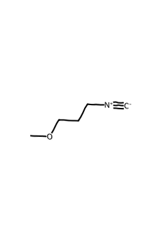 [C-]#[N+]CCCOC